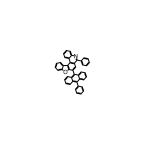 c1ccc(-c2c3ccccc3c(-c3cc4c(-c5ccccc5)nc5ccccc5c4c4c3oc3ccccc34)c3ccccc23)cc1